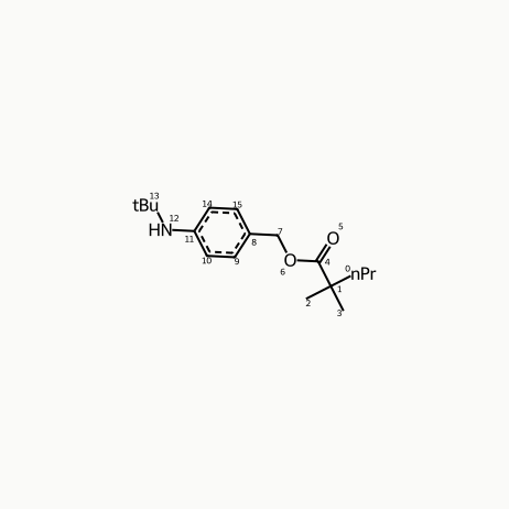 CCCC(C)(C)C(=O)OCc1ccc(NC(C)(C)C)cc1